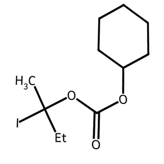 CCC(C)(I)OC(=O)OC1CCCCC1